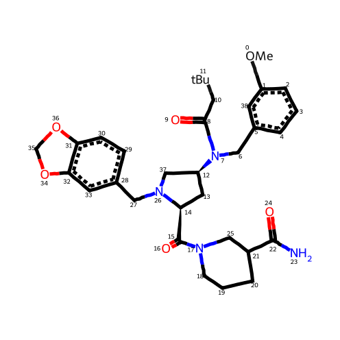 COc1cccc(CN(C(=O)CC(C)(C)C)[C@H]2C[C@@H](C(=O)N3CCCC(C(N)=O)C3)N(Cc3ccc4c(c3)OCO4)C2)c1